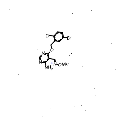 CO/N=C/c1c(N)ncnc1OCc1cc(Br)ccc1Cl